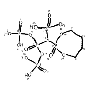 O=P(O)(O)OP(=O)(OP(=O)(O)O)N(P(=O)(O)O)P1(=O)OCCCCO1